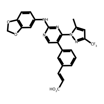 Cc1cc(C(F)(F)F)nn1-c1nc(Nc2ccc3c(c2)OCO3)ncc1-c1cccc(/C=C/C(=O)O)c1